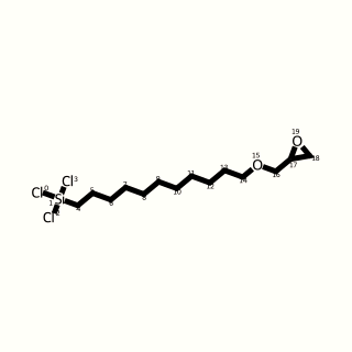 Cl[Si](Cl)(Cl)CCCCCCCCCCCOCC1CO1